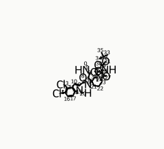 CNC(=O)CC1(NC(=O)c2cc3c(Cl)c(Cl)ccc3n2C)CCCN(S(=O)(=O)NC(=O)OC(C)(C)C)C1